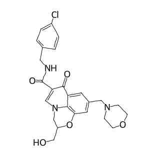 O=C(NCc1ccc(Cl)cc1)c1cn2c3c(cc(CN4CCOCC4)cc3c1=O)OC(CO)C2